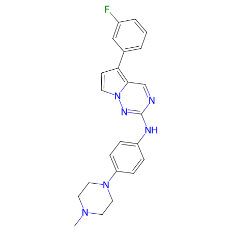 CN1CCN(c2ccc(Nc3ncc4c(-c5cccc(F)c5)ccn4n3)cc2)CC1